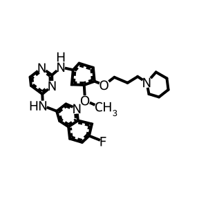 COc1cc(Nc2nccc(Nc3cnc4cc(F)ccc4c3)n2)ccc1OCCCN1CCCCC1